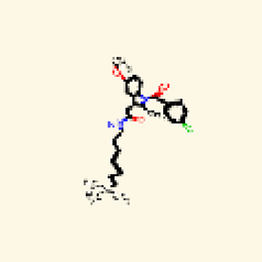 COc1ccc2c(c1)c(CC(=O)NCCCCCCC[Si](C)(C)C)c(C)n2C(=O)c1ccc(Cl)cc1